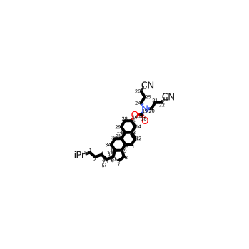 CC(C)CCC[C@@H](C)[C@H]1CCC2C3CC=C4CC(OC(=O)N(CCCC#N)CCCC#N)CC[C@]4(C)C3CC[C@@]21C